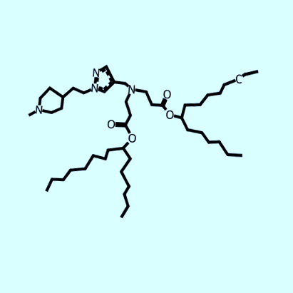 CCCCCCCCC(CCCCCC)OC(=O)CCN(CCC(=O)OC(CCCCCC)CCCCCCCC)Cc1cnn(CCC2CCN(C)CC2)c1